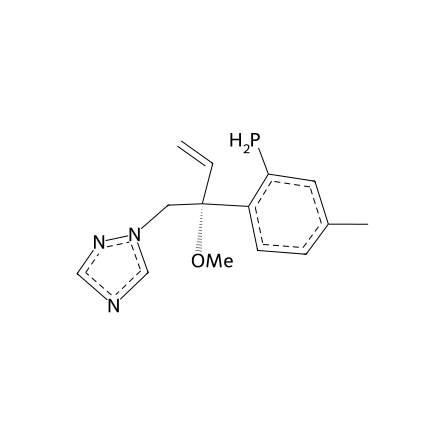 C=C[C@@](Cn1cncn1)(OC)c1ccc(C)cc1P